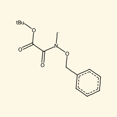 [CH2]N(OCc1ccccc1)C(=O)C(=O)OC(C)(C)C